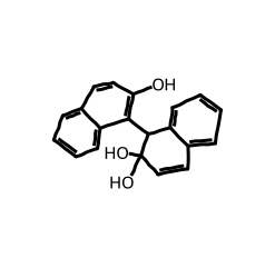 Oc1ccc2ccccc2c1C1c2ccccc2C=CC1(O)O